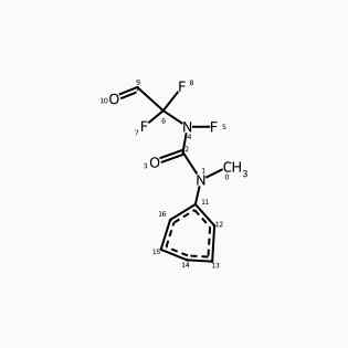 CN(C(=O)N(F)C(F)(F)[C]=O)c1ccccc1